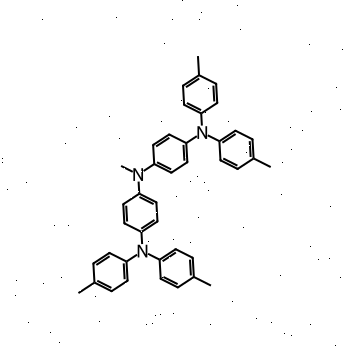 Cc1ccc(N(c2ccc(C)cc2)c2ccc(N(C)c3ccc(N(c4ccc(C)cc4)c4ccc(C)cc4)cc3)cc2)cc1